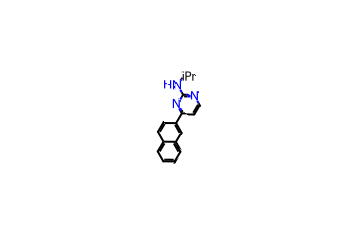 CC(C)Nc1nccc(-c2ccc3ccccc3c2)n1